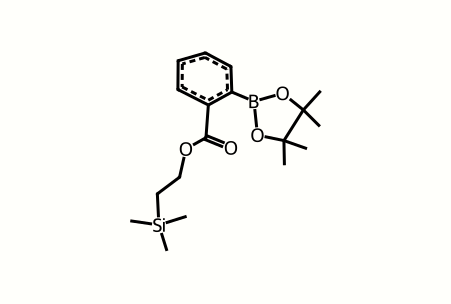 CC1(C)OB(c2ccccc2C(=O)OCC[Si](C)(C)C)OC1(C)C